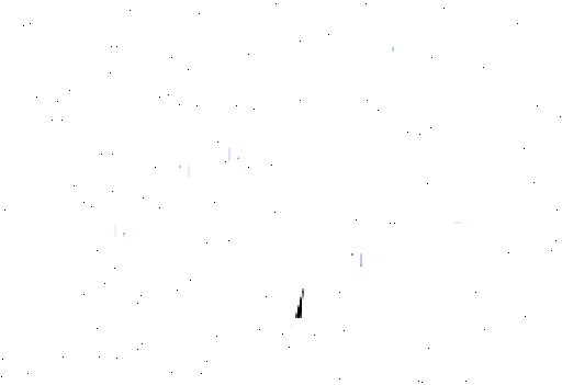 C[C@H](N)c1cc2nccn2nc1-c1cc(F)cc(Cl)c1